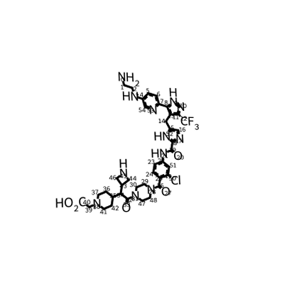 NCCNc1ccc(-c2[nH]nc(C(F)(F)F)c2Cc2cnc(C(=O)Nc3ccc(C(=O)N4CCN(C(=O)C(C5CCN(CC(=O)O)CC5)C5CNC5)CC4)c(Cl)c3)[nH]2)nc1